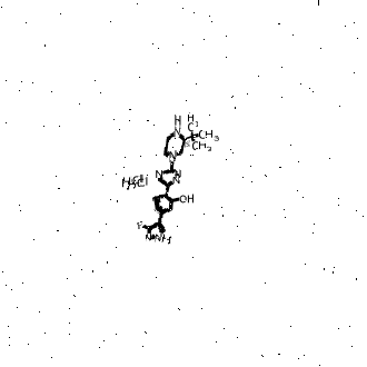 CC(C)(C)[C@H]1CN(c2ncc(-c3ccc(-c4c[nH]nc4F)cc3O)nn2)CCN1.Cl.Cl